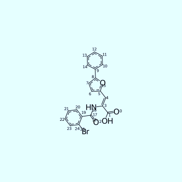 O=C(O)/C(=C/c1ccc(-c2ccccc2)o1)NC(=O)c1ccccc1Br